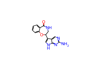 Nc1ncc2c(C3CNC(=O)c4ccccc4O3)c[nH]c2n1